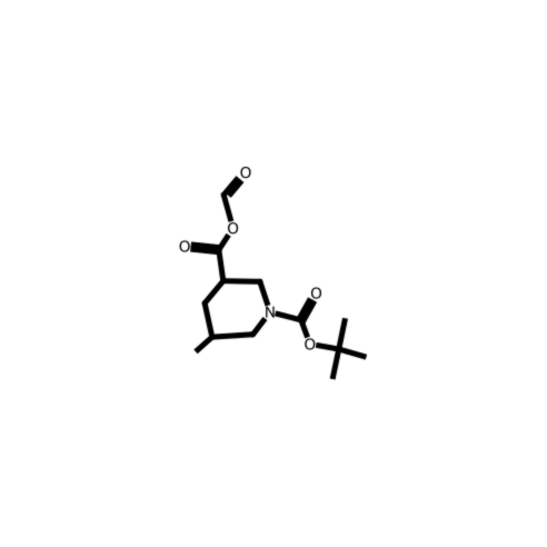 CC1CC(C(=O)OC=O)CN(C(=O)OC(C)(C)C)C1